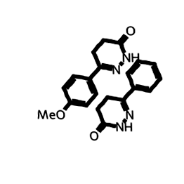 COc1ccc(C2=NNC(=O)CC2)cc1.O=C1CCC(c2ccccc2)=NN1